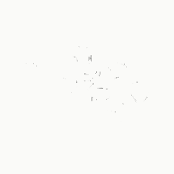 CC(=O)N[C@H]1CCCN(Cc2ccccc2NC(=O)c2[nH]c3cc(Cl)ccc3c2-c2c(-c3ccccc3)ncn2[C@@H](C)c2ccc(Cl)cc2)C1